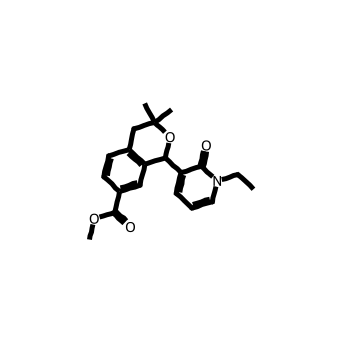 CCn1cccc(C2OC(C)(C)Cc3ccc(C(=O)OC)cc32)c1=O